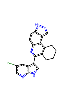 Brc1cnc2[nH]cc(-c3nc4ccc5[nH]ncc5c4c4c3CCCC4)c2c1